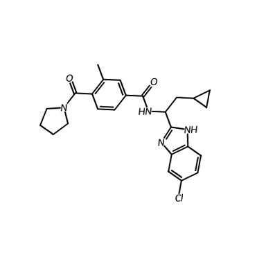 Cc1cc(C(=O)NC(CC2CC2)c2nc3cc(Cl)ccc3[nH]2)ccc1C(=O)N1CCCC1